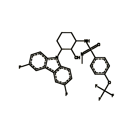 CN=S(=O)(NC1CCCC(n2c3ccc(F)cc3c3cc(F)ccc32)C1O)c1ccc(OC(F)(F)F)cc1